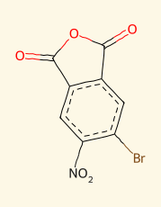 O=C1OC(=O)c2cc([N+](=O)[O-])c(Br)cc21